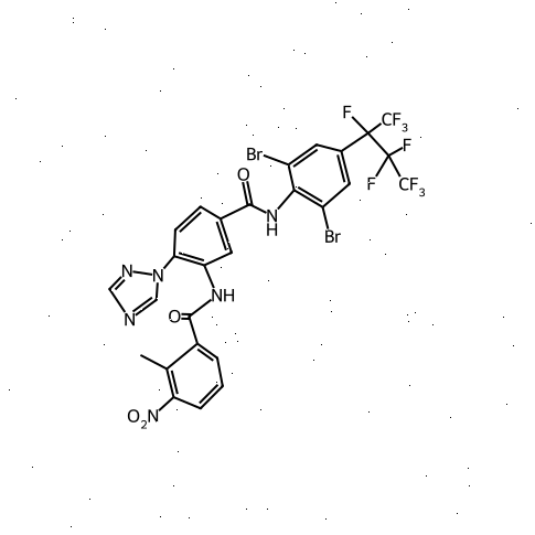 Cc1c(C(=O)Nc2cc(C(=O)Nc3c(Br)cc(C(F)(C(F)(F)F)C(F)(F)C(F)(F)F)cc3Br)ccc2-n2cncn2)cccc1[N+](=O)[O-]